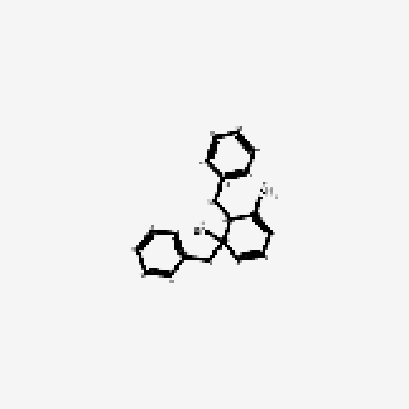 NC1=CC=CC(Br)(Cc2ccccc2)C1Cc1ccccc1